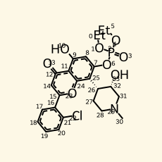 CCOP(=O)(OCC)Oc1cc(O)c2c(=O)cc(-c3ccccc3Cl)oc2c1[C@H]1CCN(C)C[C@H]1O